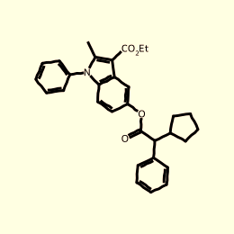 CCOC(=O)c1c(C)n(-c2ccccc2)c2ccc(OC(=O)C(c3ccccc3)C3CCCC3)cc12